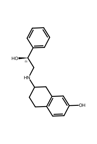 Oc1ccc2c(c1)CC(NC[C@@H](O)c1ccccc1)CC2